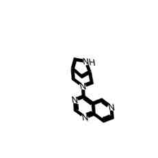 c1cc2ncnc(N3CC4CNC(C4)C3)c2cn1